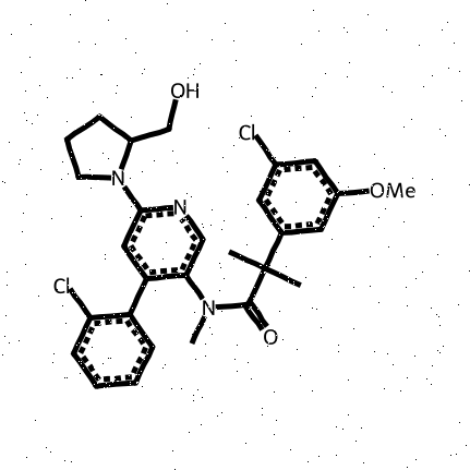 COc1cc(Cl)cc(C(C)(C)C(=O)N(C)c2cnc(N3CCCC3CO)cc2-c2ccccc2Cl)c1